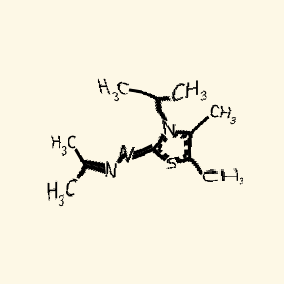 CC(C)=N/N=c1\sc(C)c(C)n1C(C)C